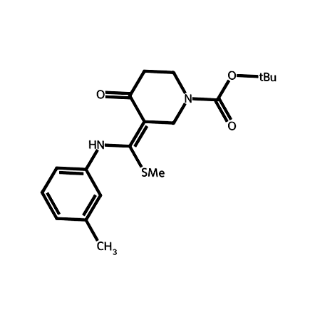 CSC(Nc1cccc(C)c1)=C1CN(C(=O)OC(C)(C)C)CCC1=O